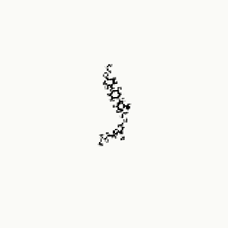 C=CCOc1ccc(-c2ccc(-c3ccc(C=CCCCC(C)OCCCCC)c(F)c3)cc2)cn1